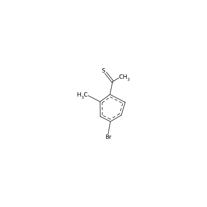 CC(=S)c1ccc(Br)cc1C